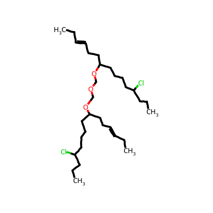 CCC=CCCC(CCCCC(Cl)CCC)OCOCOC(CCC=CCC)CCCCC(Cl)CCC